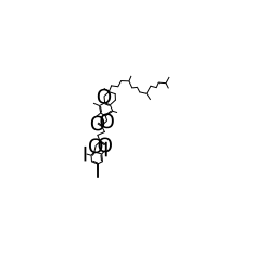 Cc1c(C)c2c(c(C)c1OC(=O)CCC(=O)Oc1c(I)cc(I)cc1I)CCC(C)(CCCC(C)CCCC(C)CCCC(C)C)O2